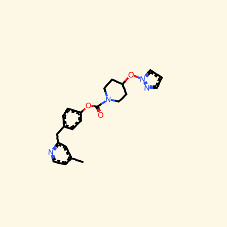 Cc1ccnc(Cc2ccc(OC(=O)N3CCC(On4cccn4)CC3)cc2)c1